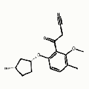 COc1c(C)ccc(O[C@@H]2CC[C@H](C)C2)c1C(=O)CC#N